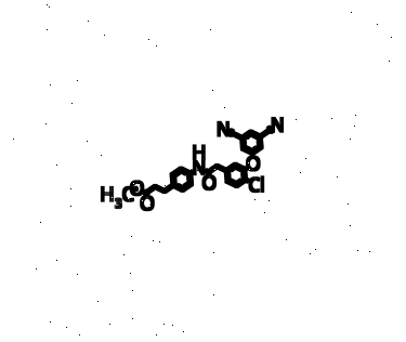 COC(=O)CCc1ccc(NC(=O)Cc2ccc(Cl)c(Oc3cc(C#N)cc(C#N)c3)c2)cc1